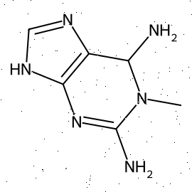 CN1C(N)=Nc2[nH]cnc2C1N